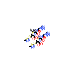 Cc1nnc(SCC2=C(C(=O)[O-])N3C(=O)[C@@H](NC(=O)Cn4cnnn4)[C@H]3SC2)s1.Cc1nnc(SCC2=C(C(=O)[O-])N3C(=O)[C@@H](NC(=O)Cn4cnnn4)[C@H]3SC2)s1.[Na+].[Na+]